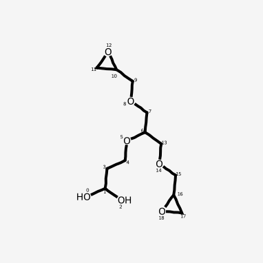 OC(O)CCOC(COCC1CO1)COCC1CO1